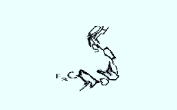 Oc1csc(C2C=C(N3CC[C@H](Oc4ccc(C(F)(F)F)cn4)C3)C=CC2)n1